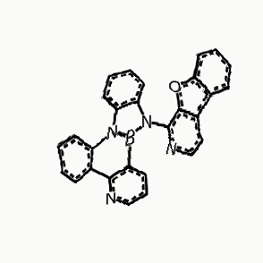 c1cnc2c(c1)B1N(c3ccccc3-2)c2ccccc2N1c1nccc2c1oc1ccccc12